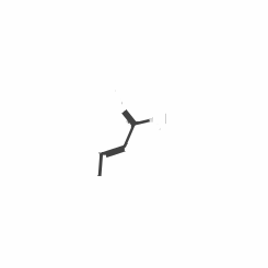 C/C=[C]/C(=O)O